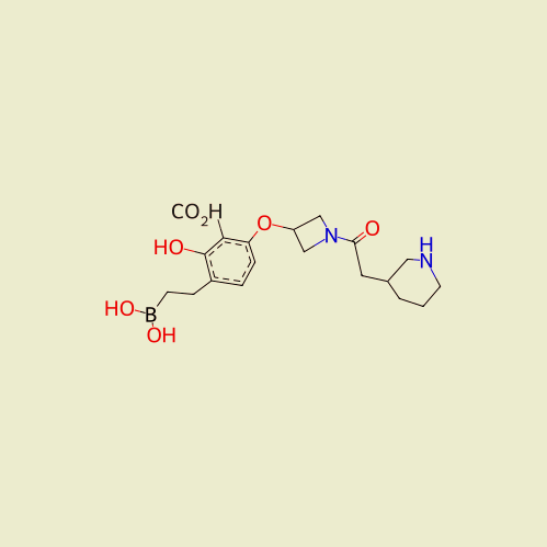 O=C(O)c1c(OC2CN(C(=O)CC3CCCNC3)C2)ccc(CCB(O)O)c1O